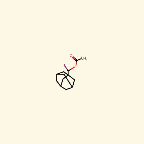 CC(=O)OC(I)C12CC3CC(CC(C3)C1)C2